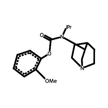 COc1ccccc1OC(=O)N(C(C)C)C1CN2CCC1CC2